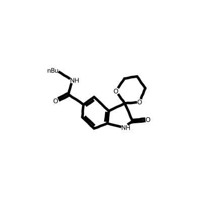 CCCCNC(=O)c1ccc2c(c1)C1(OCCCO1)C(=O)N2